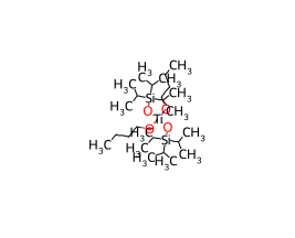 CCCC[O][Ti]([O]CCCC)([O][Si](C(C)C)(C(C)C)C(C)C)[O][Si](C(C)C)(C(C)C)C(C)C